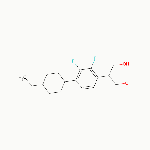 CCC1CCC(c2ccc(C(CO)CO)c(F)c2F)CC1